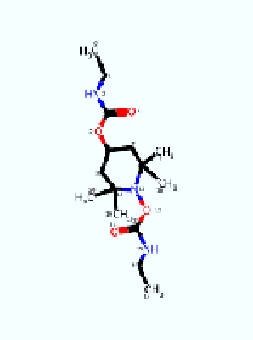 CCNC(=O)OC1CC(C)(C)N(OC(=O)NCC)C(C)(C)C1